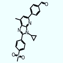 Cc1cc(-c2ccc(C=O)cc2)nc2c1nc(-c1ccc(S(C)(=O)=O)cc1)n2C1CC1